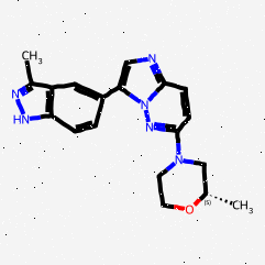 Cc1n[nH]c2ccc(-c3cnc4ccc(N5CCO[C@@H](C)C5)nn34)cc12